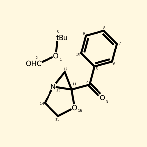 CC(C)(C)OC=O.O=C(c1ccccc1)C12CN1CCO2